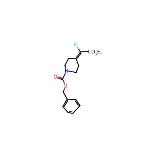 CCOC(=O)C(F)=C1CCN(C(=O)OCc2ccccc2)CC1